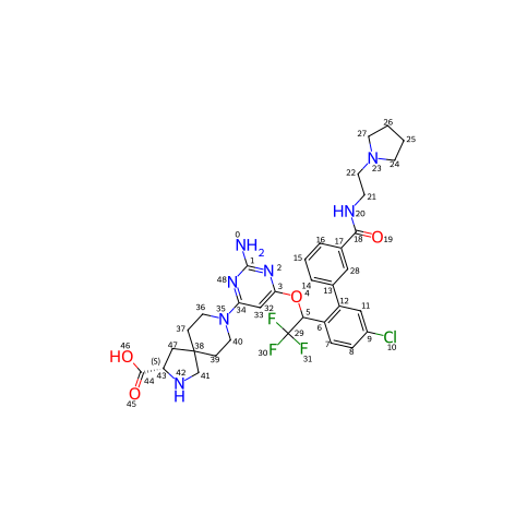 Nc1nc(OC(c2ccc(Cl)cc2-c2cccc(C(=O)NCCN3CCCC3)c2)C(F)(F)F)cc(N2CCC3(CC2)CN[C@H](C(=O)O)C3)n1